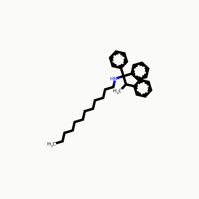 CCCCCCCCCCCCNC(c1ccccc1)(c1ccccc1)C(C)c1ccccc1